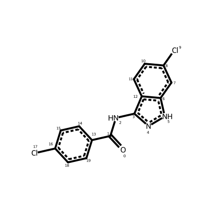 O=C(Nc1n[nH]c2cc(Cl)ccc12)c1ccc(Cl)cc1